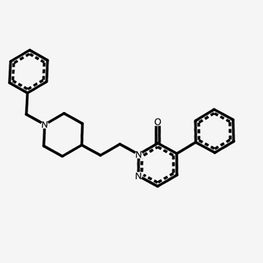 O=c1c(-c2ccccc2)ccnn1CCC1CCN(Cc2ccccc2)CC1